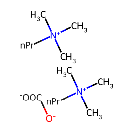 CCC[N+](C)(C)C.CCC[N+](C)(C)C.O=C([O-])[O-]